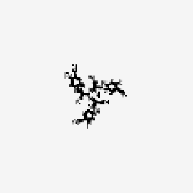 N#CC(=C1N=c2cc(F)c(C#N)cc2=N1)c1nc(C(C#N)=C2N=c3cc(F)c(C#N)cc3=N2)nc(C(C#N)=C2N=c3cc(F)c(C#N)cc3=N2)n1